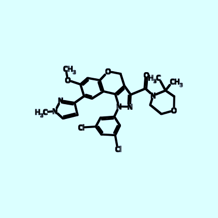 COc1cc2c(cc1-c1ccn(C)n1)-c1c(c(C(=O)N3CCOCC3(C)C)nn1-c1cc(Cl)cc(Cl)c1)CO2